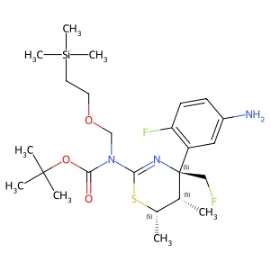 C[C@@H]1SC(N(COCC[Si](C)(C)C)C(=O)OC(C)(C)C)=N[C@](CF)(c2cc(N)ccc2F)[C@@H]1C